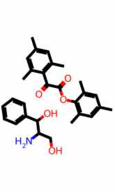 Cc1cc(C)c(OC(=O)C(=O)c2c(C)cc(C)cc2C)c(C)c1.NC(CO)C(O)c1ccccc1